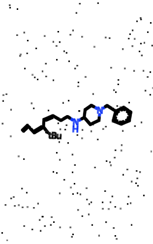 C=C/C=C(\C=C/CCNC1CCN(Cc2ccccc2)CC1)C(C)(C)C